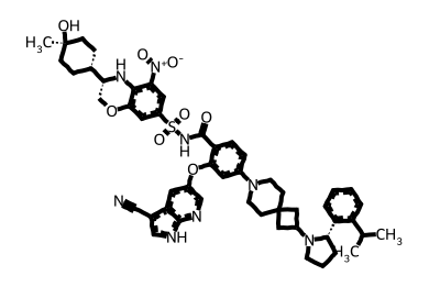 CC(C)c1ccccc1[C@@H]1CCCN1C1CC2(CCN(c3ccc(C(=O)NS(=O)(=O)c4cc5c(c([N+](=O)[O-])c4)N[C@@H]([C@H]4CC[C@](C)(O)CC4)CO5)c(Oc4cnc5[nH]cc(C#N)c5c4)c3)CC2)C1